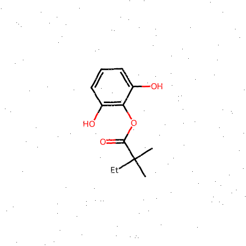 CCC(C)(C)C(=O)Oc1c(O)cccc1O